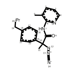 Cc1cccnc1NC(=O)C(C)(N=[N+]=[N-])c1ccc(CC(C)C)cc1